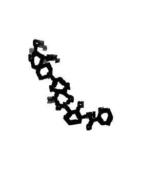 C[C@@H]1OCC2(CCN(c3cnc4on(-c5cccc(NC(=O)c6ccccn6)c5Cl)o[nH]c4n3)CC2)[C@@H]1N